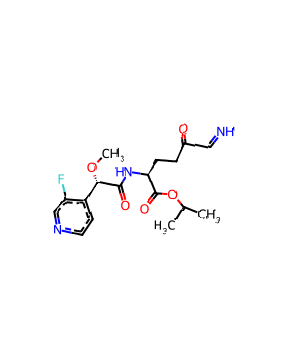 CO[C@H](C(=O)N[C@@H](CCC(=O)C=N)C(=O)OC(C)C)c1ccncc1F